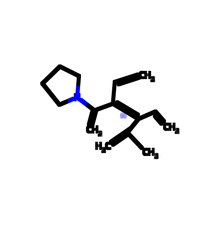 C=C/C(C(=C)C)=C(\C=C)C(=C)N1CCCC1